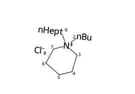 CCCCCCC[N+]1(CCCC)CCCCC1.[Cl-]